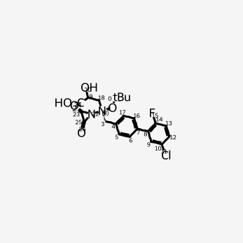 CC(C)(C)O[N@+](Cc1ccc(-c2cc(Cl)ccc2F)cc1)(CC(O)C(=O)O)n1c(=O)c1=O